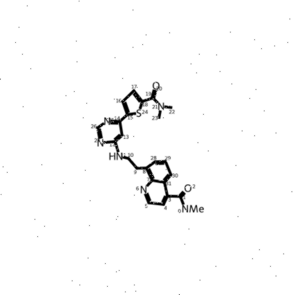 CNC(=O)c1ccnc2c(CCNc3cc(-c4ccc(C(=O)N(C)C)s4)ncn3)cccc12